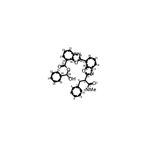 CNC(=O)C(Cc1ccccc1)c1nc2cccc(-c3nc4cccc(C(=O)OC(O)c5ccccc5)c4o3)c2o1